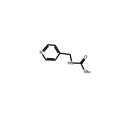 CC(C)(C)C(=O)NCc1ccncc1